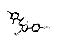 COc1ccc(-c2cn(C)/c(=N/C(=O)c3ccc(Cl)cc3Cl)[nH]2)cc1